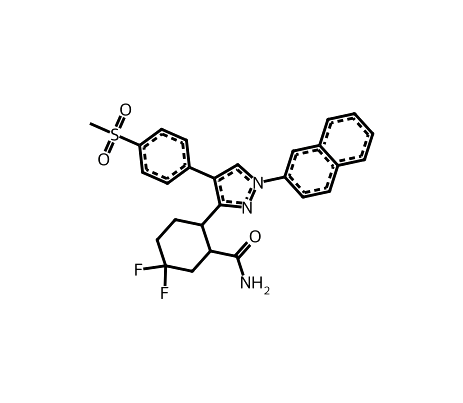 CS(=O)(=O)c1ccc(-c2cn(-c3ccc4ccccc4c3)nc2C2CCC(F)(F)CC2C(N)=O)cc1